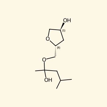 CC(C)CC(C)(O)OC[C@H]1C[C@H](O)CO1